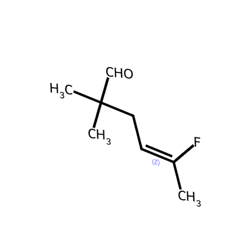 C/C(F)=C/CC(C)(C)C=O